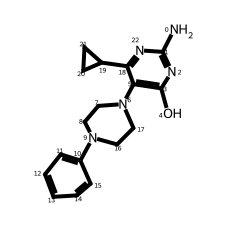 Nc1nc(O)c(N2CCN(c3ccccc3)CC2)c(C2CC2)n1